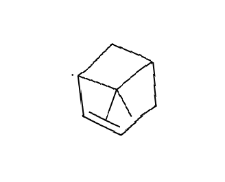 CC1(C)[C]2C=CCC1C2